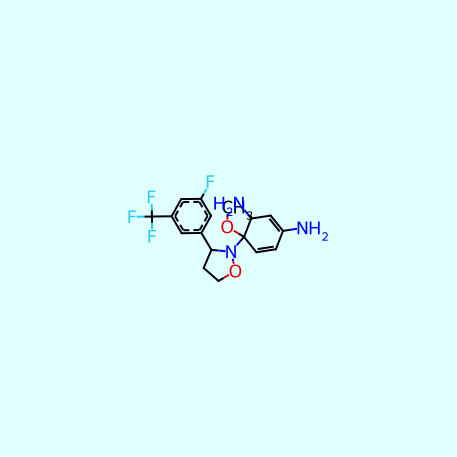 COC1(N2OCCC2c2cc(F)cc(C(F)(F)F)c2)C=CC(N)=CC1N